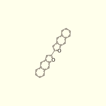 c1ccc2cc3oc(-c4cc5cc6ccccc6cc5o4)cc3cc2c1